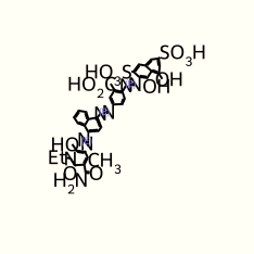 CCn1c(O)c(/N=N/c2ccc(/N=N/c3ccc(/N=N/c4c(S(=O)(=O)O)cc5cc(S(=O)(=O)O)cc(O)c5c4O)c(C(=O)O)c3)c3ccccc23)c(C)c(C(N)=O)c1=O